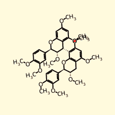 COc1cc(OC)c2c(c1)O[C@H](c1ccc(OC)c(OC)c1)[C@@H](OC)[C@H]2c1c(OC)cc(OC)c2c1O[C@H](c1ccc(OC)c(OC)c1)[C@@H](OC)C2